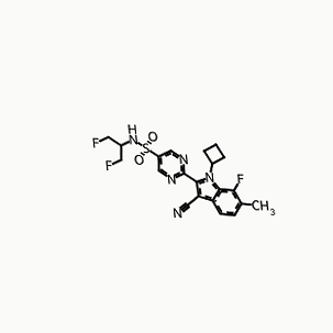 Cc1ccc2c(C#N)c(-c3ncc(S(=O)(=O)NC(CF)CF)cn3)n(C3CCC3)c2c1F